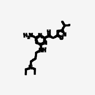 CCN(CC)CCCNc1cc(N)nc(NCc2cc(C(C)C)no2)n1